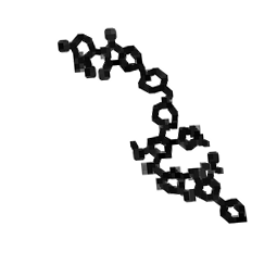 COc1cc(N2CCN(CC3CCN(c4ccc5c(c4)C(=O)N(C4CCC(=O)NC4=O)C5=O)CC3)CC2)c(-c2cnn(C)c2)cc1Nc1ncc(Cl)c(Nc2ccc(-c3ccccc3)cc2P(C)(C)=O)n1